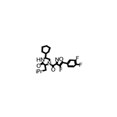 CC(C)CC1C(=O)NC(C2CCCCC2)CN1C(=O)c1noc(-c2ccc(F)c(F)c2)c1F